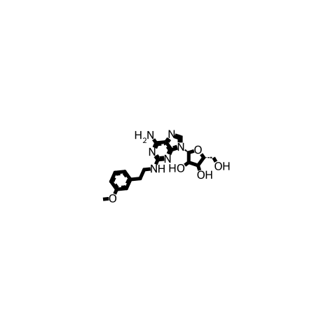 COc1cccc(CCNc2nc(N)c3ncn([C@@H]4O[C@H](CO)C(O)C4O)c3n2)c1